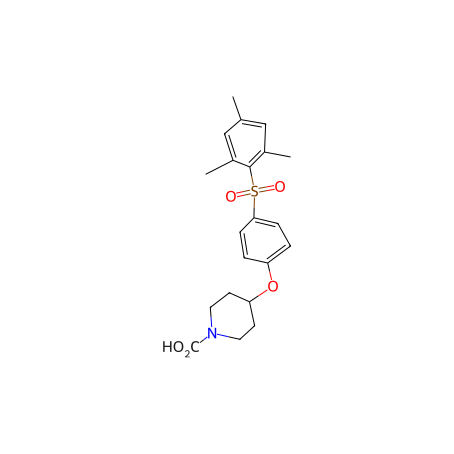 Cc1cc(C)c(S(=O)(=O)c2ccc(OC3CCN(C(=O)O)CC3)cc2)c(C)c1